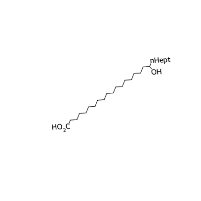 CCCCCCCC(O)CCCCCCCCCCCCCCCCCC(=O)O